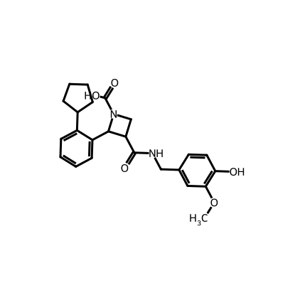 COc1cc(CNC(=O)C2CN(C(=O)O)C2c2ccccc2C2CCCC2)ccc1O